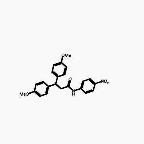 COc1ccc(C(CC(=O)Nc2ccc([N+](=O)[O-])cc2)c2ccc(OC)cc2)cc1